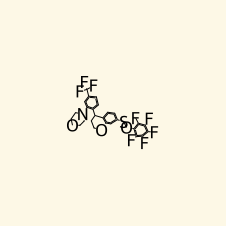 Fc1c(F)c(F)c(OSc2ccc3c(c2)OCCC3c2ccc(C(F)(F)F)cc2N2CCOCC2)c(F)c1F